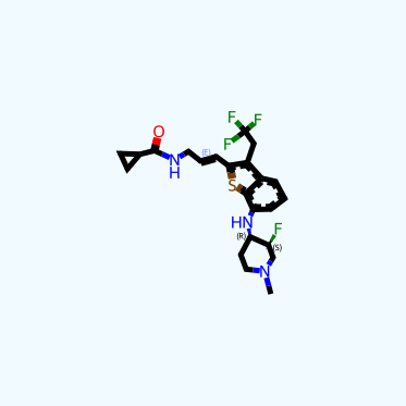 CN1CC[C@@H](Nc2cccc3c(CC(F)(F)F)c(/C=C/CNC(=O)C4CC4)sc23)[C@@H](F)C1